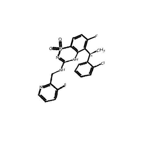 C[C@@H](c1ccccc1Cl)c1c(F)ccc2c1NC(NCc1ncccc1F)=NS2(=O)=O